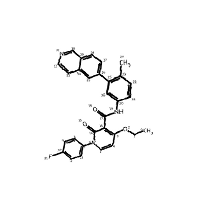 CCOc1ccn(-c2ccc(F)cc2)c(=O)c1C(=O)Nc1ccc(C)c(-c2ccc3cnccc3c2)c1